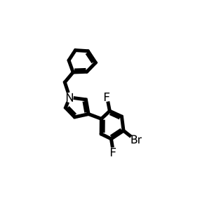 Fc1cc(-c2ccn(CC3=CC=CCC3)c2)c(F)cc1Br